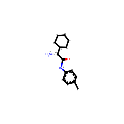 Cc1ccc(NC(=O)[C@H](N)C2CCCCC2)cc1